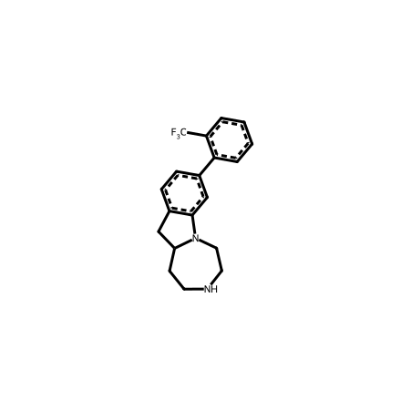 FC(F)(F)c1ccccc1-c1ccc2c(c1)N1CCNCCC1C2